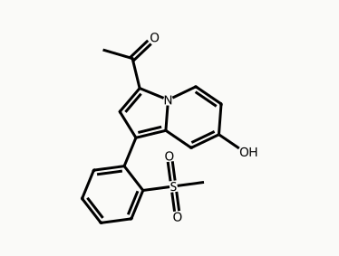 CC(=O)c1cc(-c2ccccc2S(C)(=O)=O)c2cc(O)ccn12